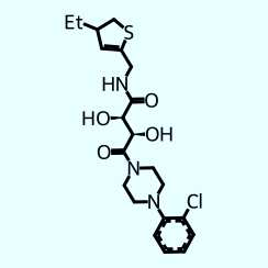 CCC1C=C(CNC(=O)[C@H](O)[C@@H](O)C(=O)N2CCN(c3ccccc3Cl)CC2)SC1